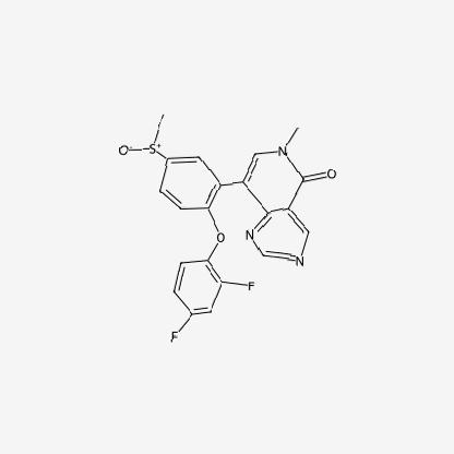 Cn1cc(-c2cc([S+](C)[O-])ccc2Oc2ccc(F)cc2F)c2ncncc2c1=O